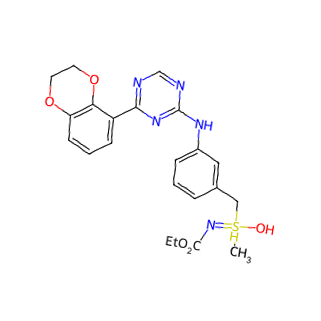 CCOC(=O)N=[SH](C)(O)Cc1cccc(Nc2ncnc(-c3cccc4c3OCCO4)n2)c1